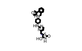 O=C1NC(O)/C(=C/c2ccnc(N[C@H]3CC[C@H](NCc4ccccc4-c4ccoc4)CC3)n2)S1